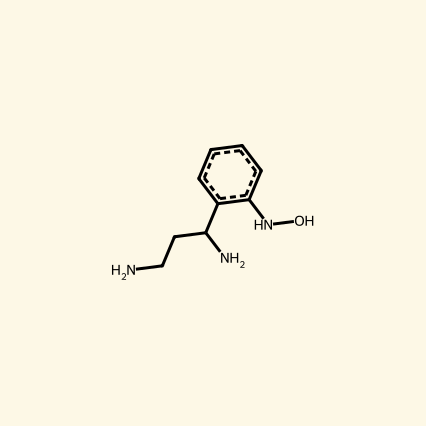 NCCC(N)c1ccccc1NO